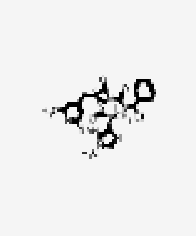 CCC(NC(=O)N1C(=O)[C@H](Cc2cc(C)nc(NC)c2)[C@H]1C(=O)N(C)c1cn(C)cn1)c1ccccc1